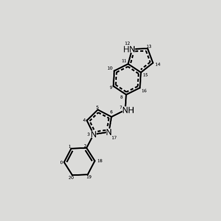 C1=CC(n2ccc(Nc3ccc4[nH]ccc4c3)n2)=CCC1